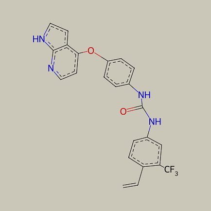 C=Cc1ccc(NC(=O)Nc2ccc(Oc3ccnc4[nH]ccc34)cc2)cc1C(F)(F)F